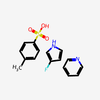 Cc1ccc(S(=O)(=O)O)cc1.Fc1cc[nH]c1.c1ccncc1